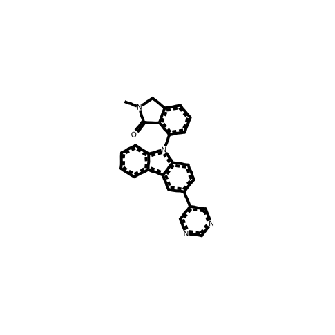 CN1Cc2cccc(-n3c4ccccc4c4cc(-c5cncnc5)ccc43)c2C1=O